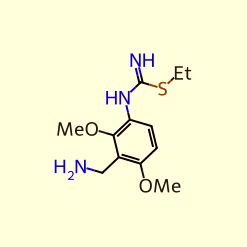 CCSC(=N)Nc1ccc(OC)c(CN)c1OC